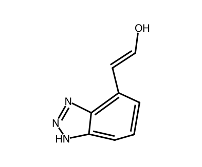 OC=Cc1cccc2[nH]nnc12